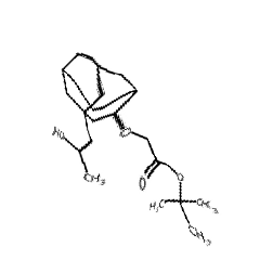 CC(O)CC12CC3CC(CC(C3)C1OCC(=O)OC(C)(C)C)C2